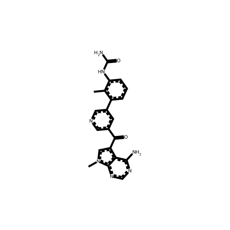 Cc1c(NC(N)=O)cccc1-c1cncc(C(=O)c2cn(C)c3ncnc(N)c23)c1